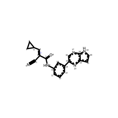 N#C/C(=C\C1CC1)C(=O)Nc1cccc(-c2cnc3[nH]ccc3n2)c1